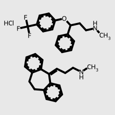 CNCCC(Oc1ccc(C(F)(F)F)cc1)c1ccccc1.CNCCC=C1c2ccccc2CCc2ccccc21.Cl